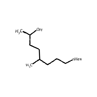 CCCCCCCCCC(C)CCC(C)O